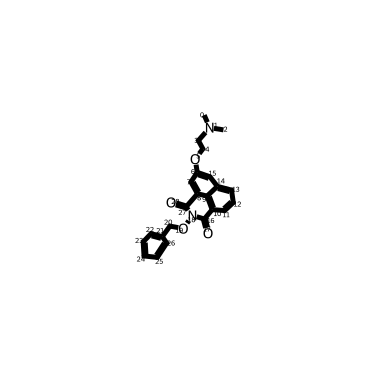 CN(C)CCOc1cc2c3c(cccc3c1)C(=O)N(OCc1ccccc1)C2=O